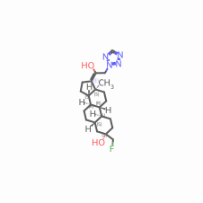 C[C@]12CC[C@H]3[C@@H](CC[C@H]4C[C@](O)(CF)CC[C@@H]43)[C@@H]1CC/C2=C(\O)Cn1ncnn1